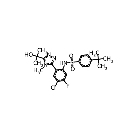 Cn1c(-c2cc(Cl)c(F)cc2NS(=O)(=O)c2ccc(C(C)(C)C)cc2)nnc1C(C)(C)O